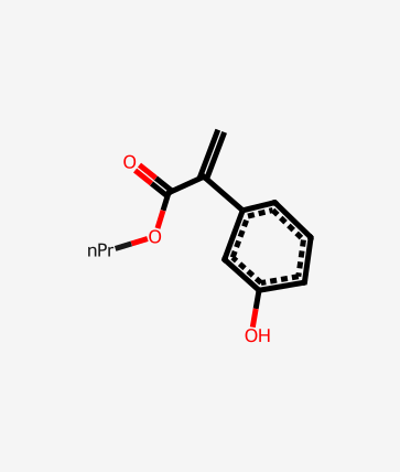 C=C(C(=O)OCCC)c1cccc(O)c1